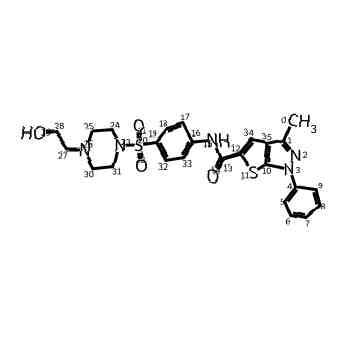 Cc1nn(-c2ccccc2)c2sc(C(=O)Nc3ccc(S(=O)(=O)N4CCN(CCO)CC4)cc3)cc12